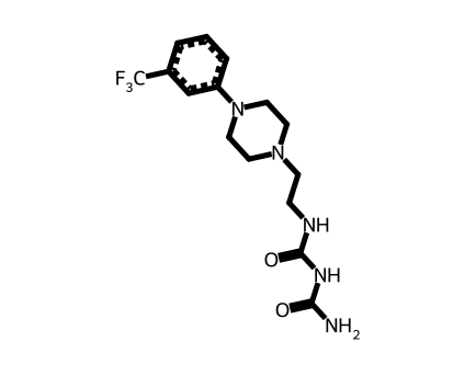 NC(=O)NC(=O)NCCN1CCN(c2cccc(C(F)(F)F)c2)CC1